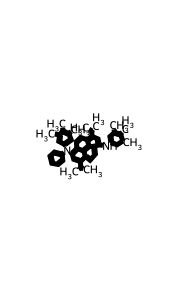 CC1=C(C)C(C)CC(Nc2cc(C(C)C)c3ccc4c(N(c5ccccc5)c5cc(C)c(C)c(C)c5)cc(C(C)C)c5ccc2c3c54)=C1